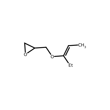 CC=C(CC)OCC1CO1